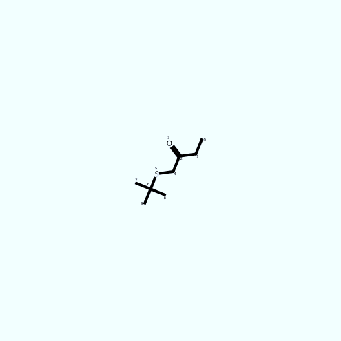 CCC(=O)CSC(C)(C)C